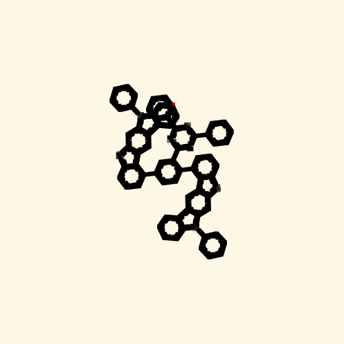 c1ccc(-c2nc(-c3ccccc3)nc(-c3cc(-c4cccc5sc6cc7c(cc6c45)c4ccccc4n7-c4ccccc4)ccc3-c3cccc4sc5cc6c(cc5c34)c3ccccc3n6-c3ccccc3)n2)cc1